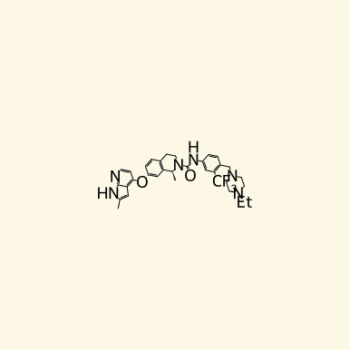 CCN1CCN(Cc2ccc(NC(=O)N3CCc4ccc(Oc5ccnc6[nH]c(C)cc56)cc4[C@@H]3C)cc2C(F)(F)F)CC1